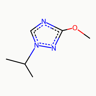 COc1ncn(C(C)C)n1